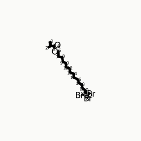 C=C(C)C(=O)OCCCCCCCCCCCCCCC[Si](Br)(Br)Br